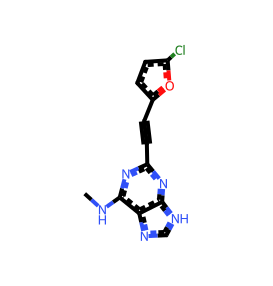 CNc1nc(C#Cc2ccc(Cl)o2)nc2[nH]cnc12